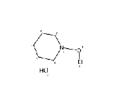 CCON1CCCCC1.Cl